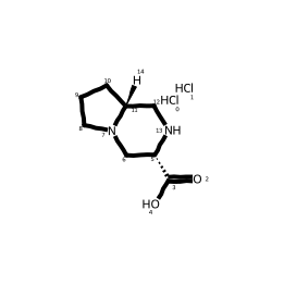 Cl.Cl.O=C(O)[C@@H]1CN2CCC[C@@H]2CN1